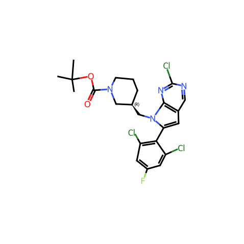 CC(C)(C)OC(=O)N1CCC[C@@H](Cn2c(-c3c(Cl)cc(F)cc3Cl)cc3cnc(Cl)nc32)C1